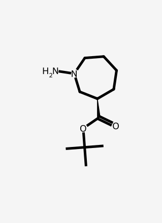 CC(C)(C)OC(=O)[C@@H]1CCCCN(N)C1